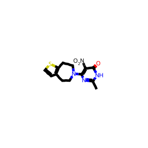 Cc1nc(N2CCc3ccsc3CC2)c([N+](=O)[O-])c(=O)[nH]1